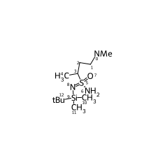 CNCCC(C)[S@](N)(=O)=N[Si](C)(C)C(C)(C)C